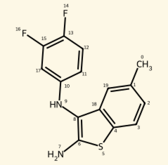 Cc1ccc2sc(N)c(Nc3ccc(F)c(F)c3)c2c1